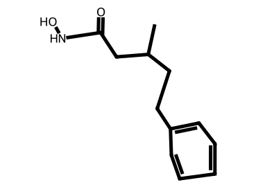 CC(CCc1ccccc1)CC(=O)NO